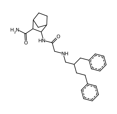 NC(=O)C1C2CCC(C2)C1NC(=O)CNCC(CCc1ccccc1)Cc1ccccc1